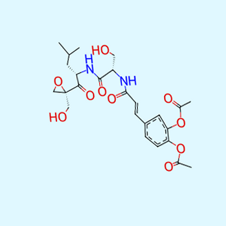 CC(=O)Oc1ccc(/C=C/C(=O)N[C@@H](CO)C(=O)N[C@@H](CC(C)C)C(=O)[C@@]2(CO)CO2)cc1OC(C)=O